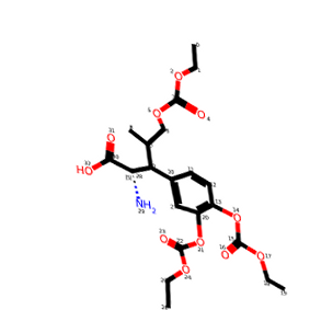 CCOC(=O)OCC(C)C(c1ccc(OC(=O)OCC)c(OC(=O)OCC)c1)[C@H](N)C(=O)O